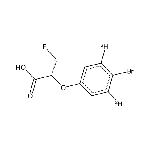 [2H]c1cc(O[C@@H](CF)C(=O)O)cc([2H])c1Br